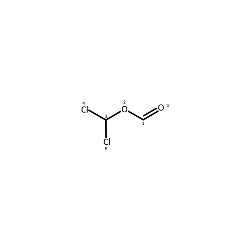 O=COC(Cl)Cl